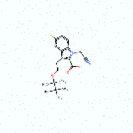 CC(C)(C)[Si](C)(C)OCCc1c(C(=O)O)n(CC#N)c2ccc(F)cc12